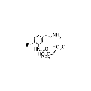 CC(C)c1ccc(CCN)cc1NC(N)=O.O=C(O)/C=C\C(=O)O